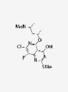 CNC(C)CC(C)Oc1nc(Cl)c(F)c2nc(SC)nc(O)c12